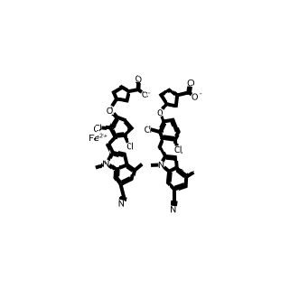 Cc1cc(C#N)cc2c1cc(Cc1c(Cl)ccc(OC3CCC(C(=O)[O-])C3)c1Cl)n2C.Cc1cc(C#N)cc2c1cc(Cc1c(Cl)ccc(OC3CCC(C(=O)[O-])C3)c1Cl)n2C.[Fe+2]